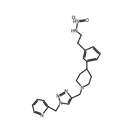 O=[SH](=O)NCCc1cccc(C2CCN(Cc3cn(Cc4ccccn4)nn3)CC2)c1